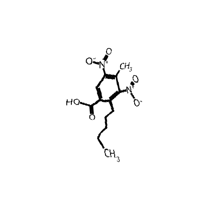 CCCCCc1c(C(=O)O)cc([N+](=O)[O-])c(C)c1[N+](=O)[O-]